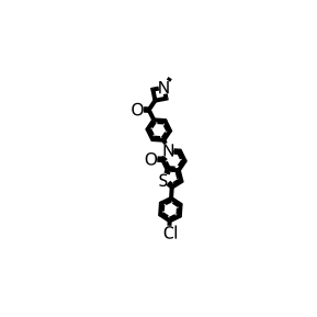 CN1CC(C(=O)c2ccc(-n3ccc4cc(-c5ccc(Cl)cc5)sc4c3=O)cc2)C1